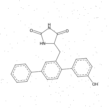 O=C1NC(=O)C(Cc2cc(-c3ccccc3)ccc2-c2cccc(O)c2)N1